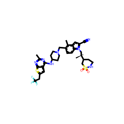 Cc1nc(NC2CCN(Cc3ccc4c(cc(C#N)n4C[C@H](C)C4CCNS(=O)(=O)C4)c3C)CC2)c2cc(CC(F)(F)F)sc2n1